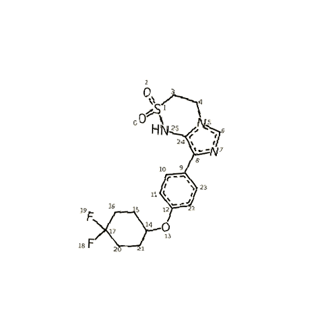 O=S1(=O)CCn2cnc(-c3ccc(OC4CCC(F)(F)CC4)cc3)c2N1